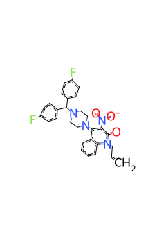 C=CCn1c(=O)c([N+](=O)[O-])c(N2CCN(C(c3ccc(F)cc3)c3ccc(F)cc3)CC2)c2ccccc21